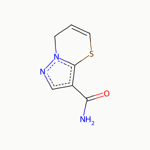 NC(=O)c1cnn2c1SC=CC2